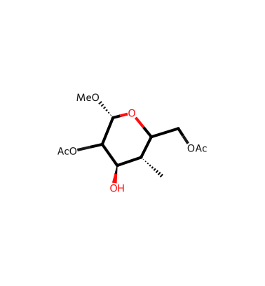 CO[C@@H]1OC(COC(C)=O)[C@H](C)[C@@H](O)C1OC(C)=O